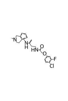 C=C(CCNC(=O)COc1ccc(Cl)c(F)c1)Nc1cccc2c1CCN(C)C2